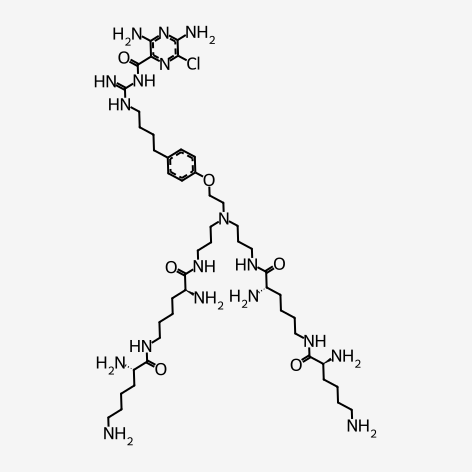 N=C(NCCCCc1ccc(OCCN(CCCNC(=O)[C@@H](N)CCCCNC(=O)[C@@H](N)CCCCN)CCCNC(=O)[C@@H](N)CCCCNC(=O)[C@@H](N)CCCCN)cc1)NC(=O)c1nc(Cl)c(N)nc1N